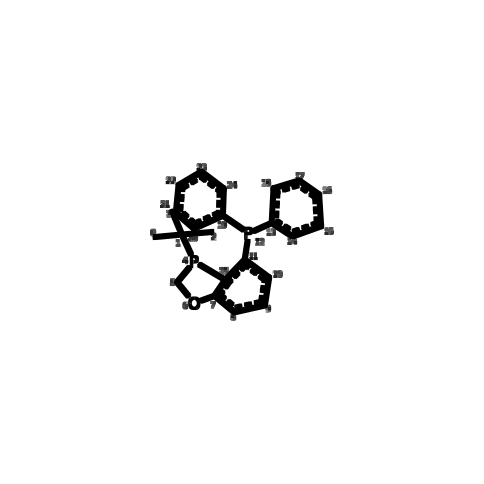 CC(C)(C)P1COc2cccc(P(c3ccccc3)c3ccccc3)c21